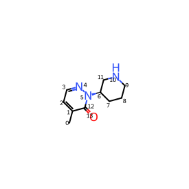 Cc1ccnn([C@@H]2CCCNC2)c1=O